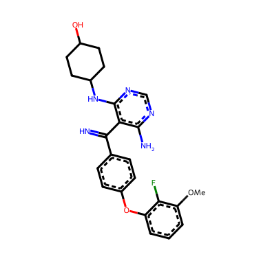 COc1cccc(Oc2ccc(C(=N)c3c(N)ncnc3NC3CCC(O)CC3)cc2)c1F